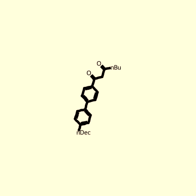 CCCCCCCCCCc1ccc(-c2ccc(C(=O)CC(=O)CCCC)cc2)cc1